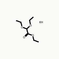 CCOC(=O)C(OCC)OCC.[KH]